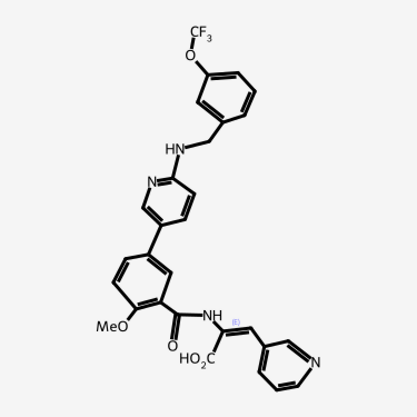 COc1ccc(-c2ccc(NCc3cccc(OC(F)(F)F)c3)nc2)cc1C(=O)N/C(=C/c1cccnc1)C(=O)O